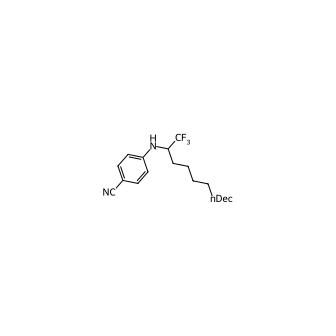 CCCCCCCCCCCCCCC(Nc1ccc(C#N)cc1)C(F)(F)F